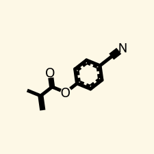 C=C(C)C(=O)Oc1ccc(C#N)cc1